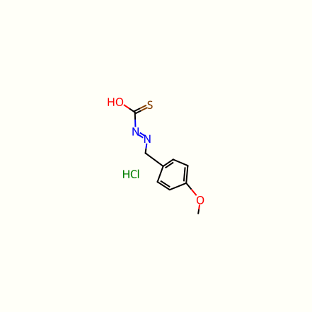 COc1ccc(CN=NC(O)=S)cc1.Cl